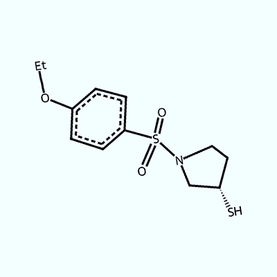 CCOc1ccc(S(=O)(=O)N2CC[C@H](S)C2)cc1